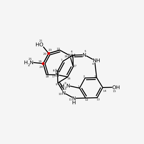 Nc1cc2[nH]nc3ccc(n[nH]c1cc2O)c1[nH]c2cc(O)c(cc2N)[nH]c31